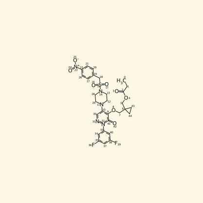 CCC(=O)OCC1(COc2c(N3CCN(S(=O)(=O)Cc4ccc([N+](=O)[O-])cc4)CC3)cnn(-c3cc(F)cc(F)c3)c2=O)CC1